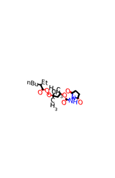 CCCCC(CC)C(=O)OOC(C)(C)CC(C)OC(=O)NN1C(=O)CCC1=O